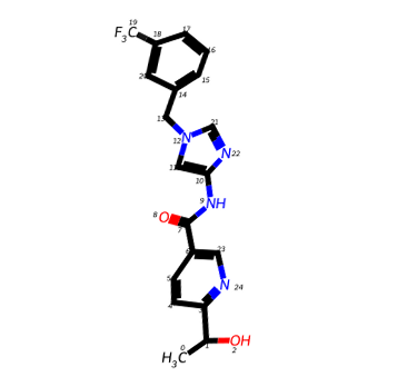 CC(O)c1ccc(C(=O)Nc2cn(Cc3cccc(C(F)(F)F)c3)cn2)cn1